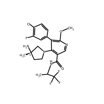 COc1ncc(C(=O)NC(C)C(F)(F)F)c(N2CC[C@](C)(N)C2)c1-c1ccc(Cl)c(F)c1